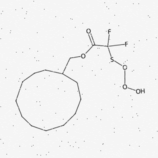 O=C(OCC1CCCCCCCCCCC1)C(F)(F)SOOO